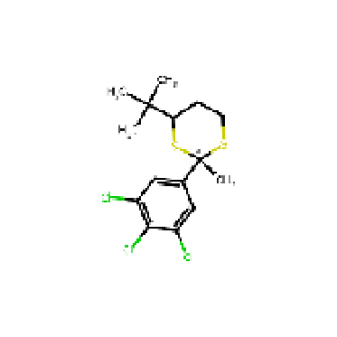 CC(C)(C)C1CCS[C@](C)(c2cc(Cl)c(Cl)c(Cl)c2)S1